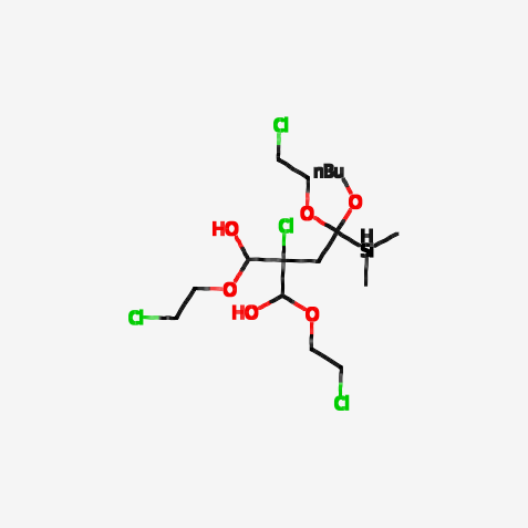 CCCCOC(CC(Cl)(C(O)OCCCl)C(O)OCCCl)(OCCCl)[SiH](C)C